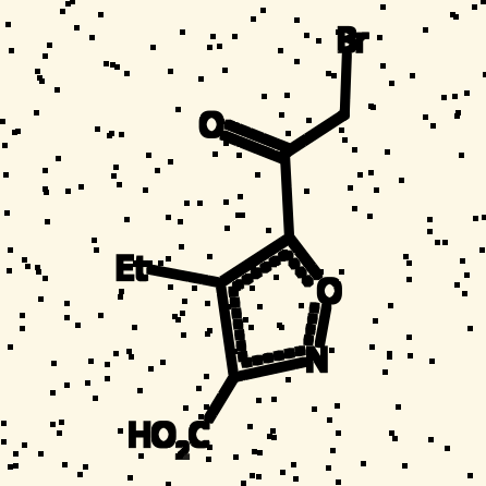 CCc1c(C(=O)O)noc1C(=O)CBr